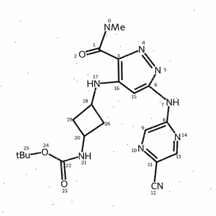 CNC(=O)c1nnc(Nc2cnc(C#N)cn2)cc1NC1CC(NC(=O)OC(C)(C)C)C1